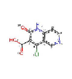 O=C(O)c1c(Cl)c2cnccc2[nH]c1=O